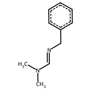 CN(C)/C=N/Cc1ccccc1